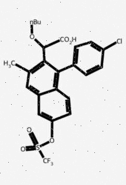 CCCCOC(C(=O)O)c1c(C)cc2cc(OS(=O)(=O)C(F)(F)F)ccc2c1-c1ccc(Cl)cc1